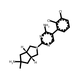 CC1(N)C[C@H]2CN(c3ncc(-c4cccc(Cl)c4Cl)c(N)n3)C[C@H]2C1